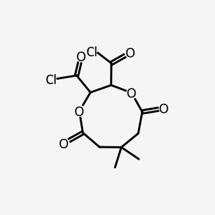 CC1(C)CC(=O)OC(C(=O)Cl)C(C(=O)Cl)OC(=O)C1